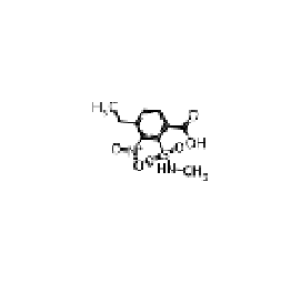 CCc1ccc(C(=O)O)c(S(=O)(=O)NC)c1[N+](=O)[O-]